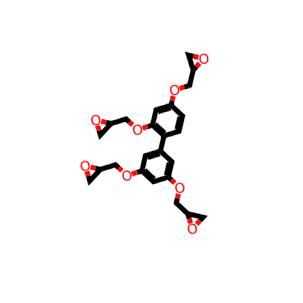 c1cc(-c2cc(OCC3CO3)cc(OCC3CO3)c2)c(OCC2CO2)cc1OCC1CO1